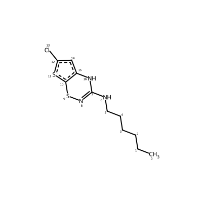 CCCCCCNC1=NSc2sc(Cl)cc2N1